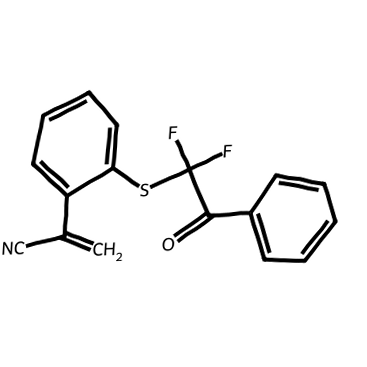 C=C(C#N)c1ccccc1SC(F)(F)C(=O)c1ccccc1